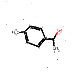 [CH2]c1ccc(C(C)O)cc1